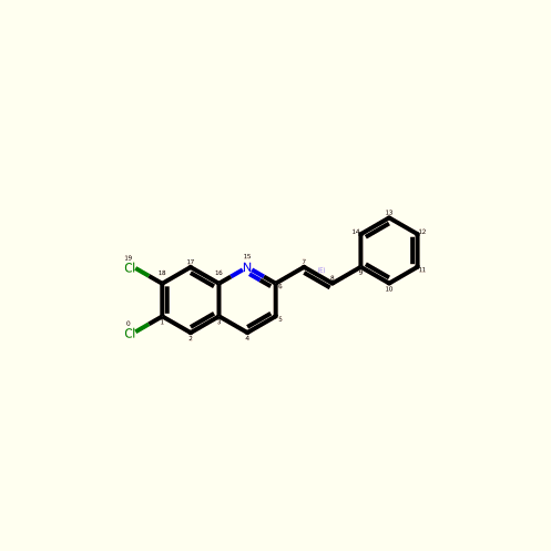 Clc1cc2ccc(/C=C/c3ccccc3)nc2cc1Cl